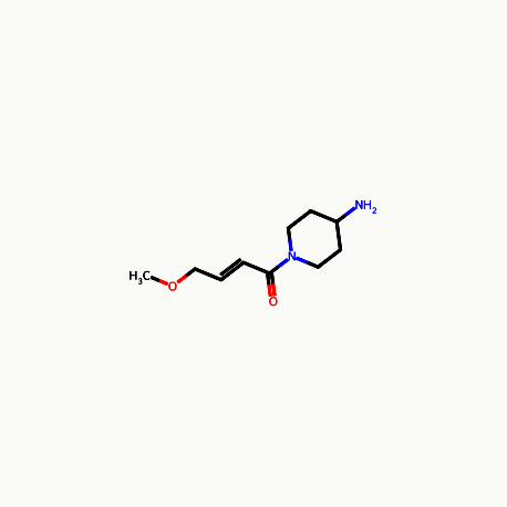 COC/C=C/C(=O)N1CCC(N)CC1